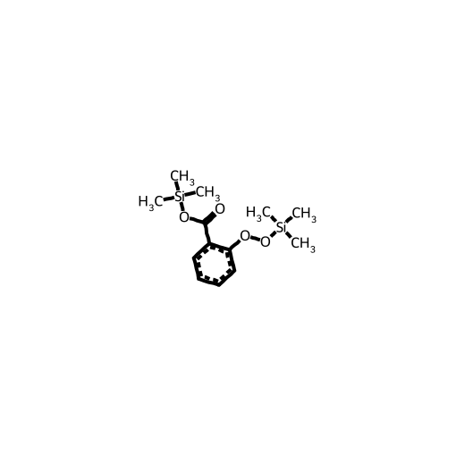 C[Si](C)(C)OOc1ccccc1C(=O)O[Si](C)(C)C